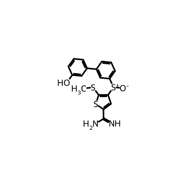 CSc1sc(C(=N)N)cc1[S+]([O-])c1cccc(-c2cccc(O)c2)c1